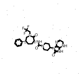 O=C(N[C@@H]1CC[C@@H](c2ccccc2)CN(CC(F)(F)F)C1=O)N1CCC(n2c3c([nH]c2=O)NCC=N3)CC1